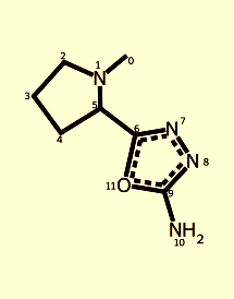 CN1CCCC1c1nnc(N)o1